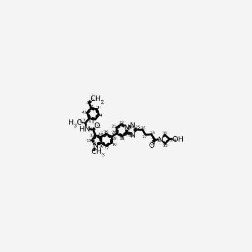 C=Cc1cccc([C@H](C)NC(=O)c2cn(C)c3ccc(-c4ccn5nc(CCCC(=O)N6CC(O)C6)nc5c4)cc23)c1